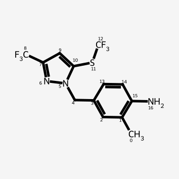 Cc1cc(Cn2nc(C(F)(F)F)cc2SC(F)(F)F)ccc1N